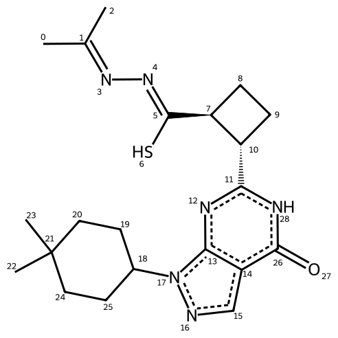 CC(C)=N/N=C(\S)[C@H]1CC[C@@H]1c1nc2c(cnn2C2CCC(C)(C)CC2)c(=O)[nH]1